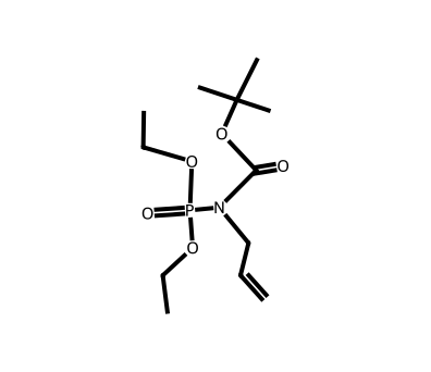 C=CCN(C(=O)OC(C)(C)C)P(=O)(OCC)OCC